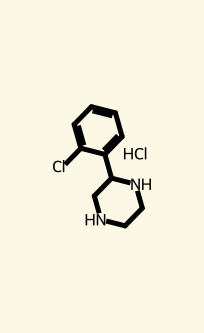 Cl.Clc1ccccc1C1CNCCN1